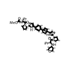 COC(=O)N[C@H](C(=O)N1CCC[C@H]1c1ncc(-c2ccc(C34CCC(c5cnc([C@@H]6CCCN6C(=O)[C@H](NC6CCOCC6)C(C)C)[nH]5)(CC3)CC4)cc2)[nH]1)C(C)C